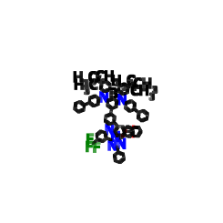 CC(C)(C)c1ccc2c(c1)N(c1ccc(-c3ccccc3)cc1)c1cc(-c3ccc4c(c3)c3cc(-c5ccccc5)ccc3n4-c3ccc(C(F)(F)F)cc3-c3nc(-c4ccccc4)nc(-c4ccccc4)n3)cc3c1B2c1ccc(C(C)(C)C)cc1N3c1ccc(-c2ccccc2)cc1